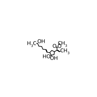 C/C=C(\C(=O)OC)C1CC(C=CCCCC(C)O)C(O)(O)C1